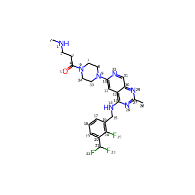 CNCCC(=O)N1CCN(c2cc3c(NCc4cccc(C(F)F)c4F)nc(C)nc3cn2)CC1